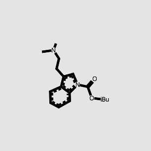 CCC(C)OC(=O)n1cc(CCN(C)C)c2ccccc21